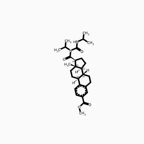 COC(=O)c1ccc2c(c1)CC[C@@H]1[C@@H]2CC[C@]2(C)[C@@H](C(=O)N(C(=O)NC(C)C)C(C)C)CC[C@@H]12